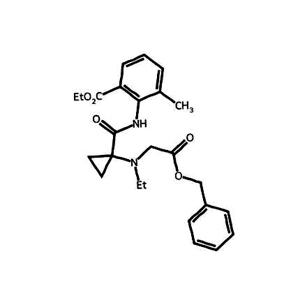 CCOC(=O)c1cccc(C)c1NC(=O)C1(N(CC)CC(=O)OCc2ccccc2)CC1